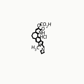 Cl.Cn1c(CN2CCC2)cc2cc3c(cc21)CCCc1cc(OC(=O)O)c(=O)[nH]c1-3